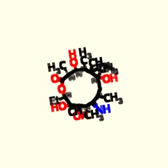 CC[C@H]1OC(=O)[C@H](C)[C@@H](O)[C@H](C)C(C)(C)[C@](C)(O)C[C@@H](C)C(=N)[C@H](C)[C@@H](O)[C@]1(C)O